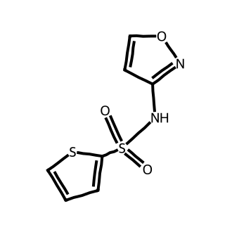 O=S(=O)(Nc1ccon1)c1cccs1